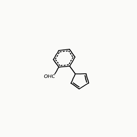 O=Cc1ccccc1C1C=CC=C1